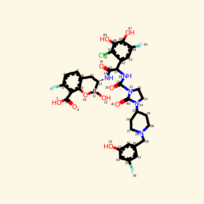 O=C(O)c1c(F)ccc2c1OB(O)[C@@H](NC(=O)C(NC(=O)N1CCN(C3CCN(Cc4cc(O)cc(F)c4)CC3)C1=O)c1cc(F)c(O)c(O)c1Cl)C2